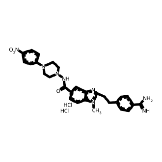 Cl.Cl.Cn1c(CCc2ccc(C(=N)N)cc2)nc2cc(C(=O)NN3CCN(c4ccc([N+](=O)[O-])cc4)CC3)ccc21